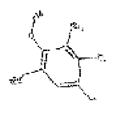 CCc1cc(C(C)(C)C)c([O][Al])c(C(C)(C)C)c1CC